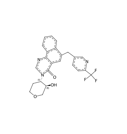 O=c1c2cc(Cc3ccc(C(F)(F)F)nc3)c3ccccc3c2ncn1[C@H]1CCOC[C@@H]1O